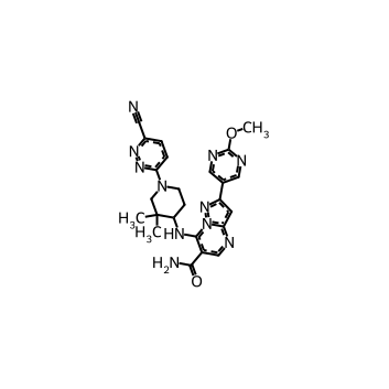 COc1ncc(-c2cc3ncc(C(N)=O)c(NC4CCN(c5ccc(C#N)nn5)CC4(C)C)n3n2)cn1